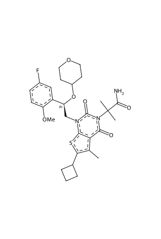 COc1ccc(F)cc1[C@H](Cn1c(=O)n(C(C)(C)C(N)=O)c(=O)c2c(C)c(C3CCC3)sc21)OC1CCOCC1